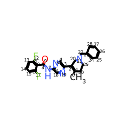 CC1=C(c2cnc(NC(=O)c3c(F)cccc3F)cn2)CN(Cc2ccccc2)CC1